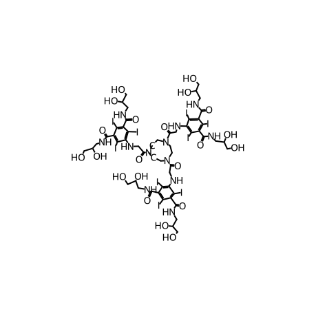 O=C(NCC(O)CO)c1c(I)c(NCC(=O)N2CCN(C(=O)CNc3c(I)c(C(=O)NCC(O)CO)c(I)c(C(=O)NCC(O)CO)c3I)CCN(C(=O)CNc3c(I)c(C(=O)NCC(O)CO)c(I)c(C(=O)NCC(O)CO)c3I)CC2)c(I)c(C(=O)NCC(O)CO)c1I